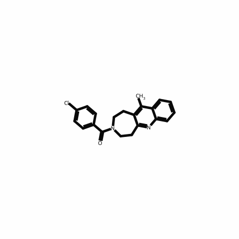 Cc1c2c(nc3ccccc13)CCN(C(=O)c1ccc(Cl)cc1)CC2